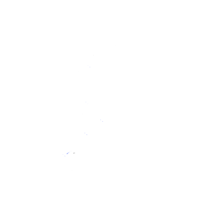 C=CC(=O)N1CC(Cn2c(=O)c(N3CC[C@@H](N(C)C)C3)nc3cc(-c4cc(O)cc5ccccc45)c(Cl)cc32)C1